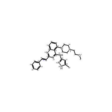 COCCN1CCN(c2cccc3nc(/C=C/c4ccccc4)nc(Nc4cc(C)[nH]n4)c23)CC1